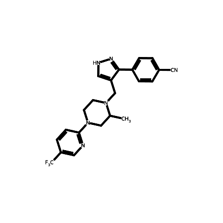 CC1CN(c2ccc(C(F)(F)F)cn2)CCN1Cc1c[nH]nc1-c1ccc(C#N)cc1